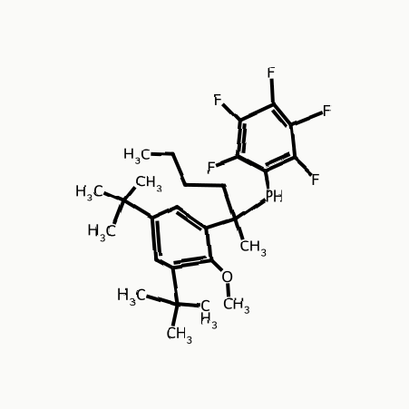 CCCCC(C)(Pc1c(F)c(F)c(F)c(F)c1F)c1cc(C(C)(C)C)cc(C(C)(C)C)c1OC